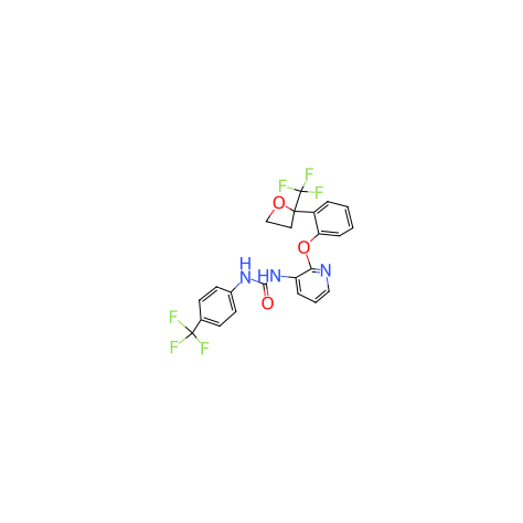 O=C(Nc1ccc(C(F)(F)F)cc1)Nc1cccnc1Oc1ccccc1C1(C(F)(F)F)CCO1